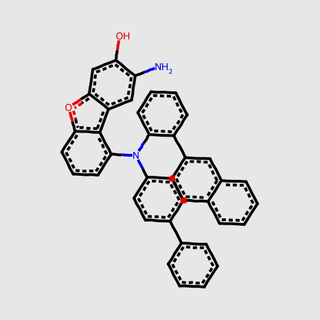 Nc1cc2c(cc1O)oc1cccc(N(c3ccc(-c4ccccc4)cc3)c3ccccc3-c3ccc4ccccc4c3)c12